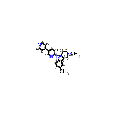 Cc1ccc2c(c1)c1c(n2-c2ccc(-c3ccncc3)cn2)CCN(C)C1